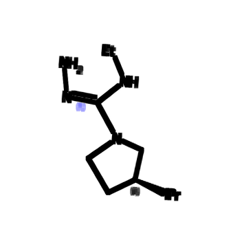 CCN/C(=N\N)N1CC[C@H](C(C)C)C1